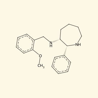 COc1ccccc1CN[C@@H]1CCCCN[C@@H]1c1ccccc1